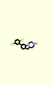 Clc1ccc(Cl)c(-c2ccc3c(c2)N2CCNCCC2C3)c1